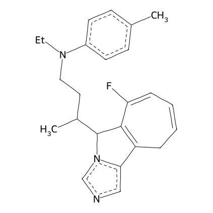 CCN(CCC(C)C1C2=C(CC=CC=C2F)c2cncn21)c1ccc(C)cc1